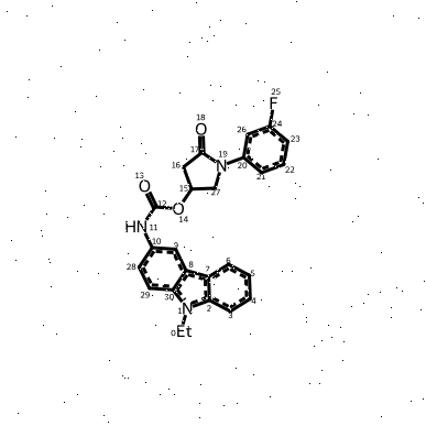 CCn1c2ccccc2c2cc(NC(=O)OC3CC(=O)N(c4cccc(F)c4)C3)ccc21